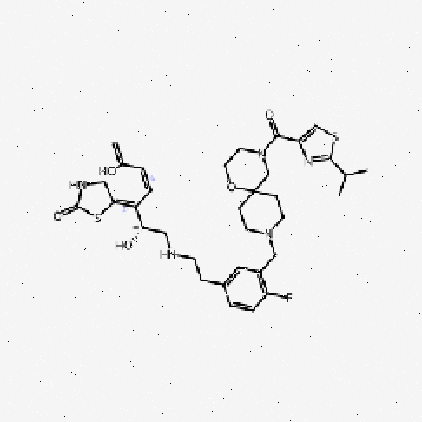 C=C(O)/C=C\C(=C1/CNC(=O)S1)[C@@H](O)CNCCc1ccc(F)c(CN2CCC3(CC2)CN(C(=O)c2csc(C(C)C)n2)CCO3)c1